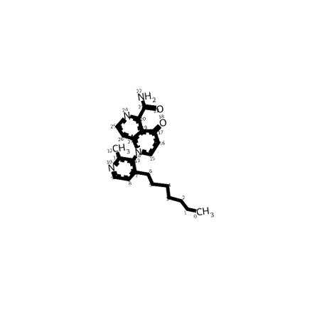 CCCCCCCc1ccnc(C)c1-n1ccc(=O)c2c(C(N)=O)nccc21